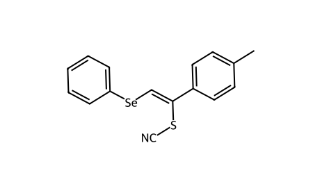 Cc1ccc(C(=C[Se]c2ccccc2)SC#N)cc1